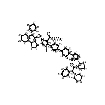 COC(=O)c1nc([C@@H]2CCCN2C(=O)[C@@H](c2ccccc2)N2CCCCC2)[nH]c1-c1ccc(-c2ccc(-c3cnc([C@@H]4CCCN4C(=O)[C@@H](c4ccccc4)N4CCCCC4)[nH]3)cc2)cc1